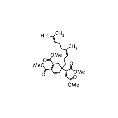 COC(=O)C=C(C(=O)OC)C1(CCC=C(C)CCC=C(C)C)C=CC(C(=O)OC)=C(C(=O)OC)C1